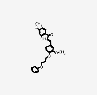 COc1ccc(C(=O)/C=C/c2ccc(OCCCOc3ccccc3)c(OC)c2)c(O)c1